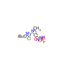 Cc1cc2cc3c(NS(=O)(=O)C4CC4)noc3cc2c(-c2cnc(OCC(C)C)c(Cl)c2)n1